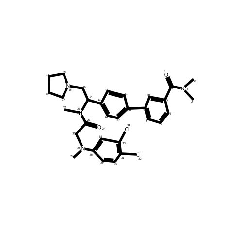 CN(C)C(=O)c1cccc(-c2ccc(C(CN3CCCC3)N(C)C(=O)CN(C)c3ccc(Cl)c(Cl)c3)cc2)c1